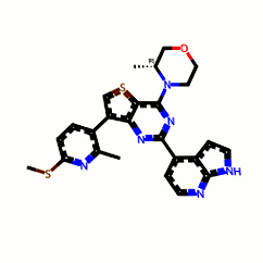 CSc1ccc(-c2csc3c(N4CCOC[C@H]4C)nc(-c4ccnc5[nH]ccc45)nc23)c(C)n1